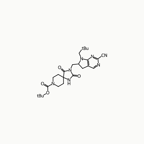 CC(C)(C)CN1c2nc(C#N)ncc2CC1CN1C(=O)NC2(CCN(C(=O)OC(C)(C)C)CC2)C1=O